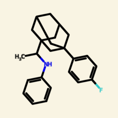 CC(Nc1ccccc1)C12CC3CC(CC(c4ccc(F)cc4)(C3)C1)C2